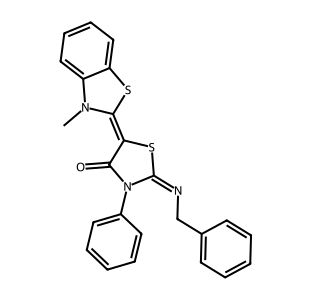 CN1C(=C2SC(=NCc3ccccc3)N(c3ccccc3)C2=O)Sc2ccccc21